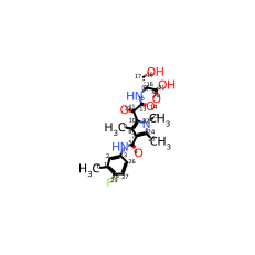 Cc1cc(NC(=O)c2c(C)c(C(=O)C(=O)N[C@H](CO)C(=O)O)n(C)c2C)ccc1F